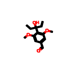 CCC(O)(CC)c1c(OC)cc(C=O)cc1OC